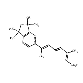 CC(C=CC=C(C)c1cnc2c(n1)C(C)(C)CC2(C)C)=CC(=O)O